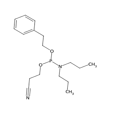 CCCN(CCC)P(OCCC#N)OCCc1ccccc1